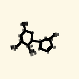 CC1=CC(O)CC(c2cccc(Cl)c2)N1C